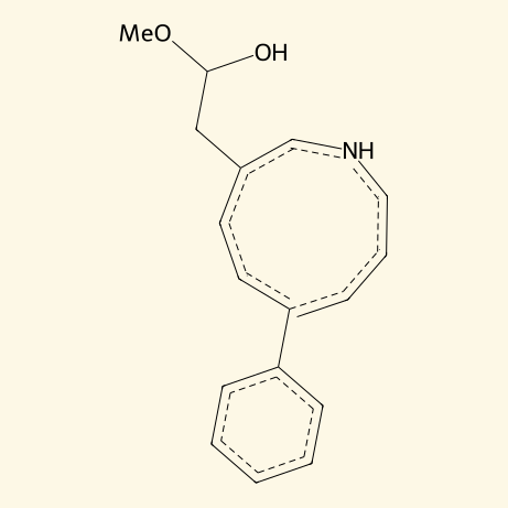 COC(O)Cc1ccc(-c2ccccc2)ccc[nH]c1